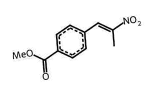 COC(=O)c1ccc(C=C(C)[N+](=O)[O-])cc1